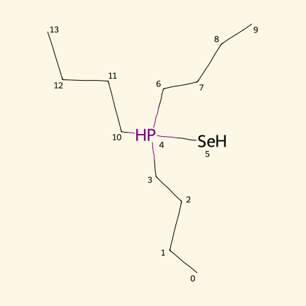 CCCC[PH]([SeH])(CCCC)CCCC